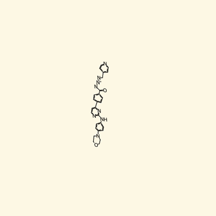 O=C(N=[N+]=NCc1ccncc1)c1ccc(-c2ccnc(Nc3ccc(N4CCOCC4)cc3)n2)cc1